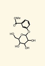 COC(=O)c1cccc(OC2OC(CO)C(O)C(O)C2O)c1